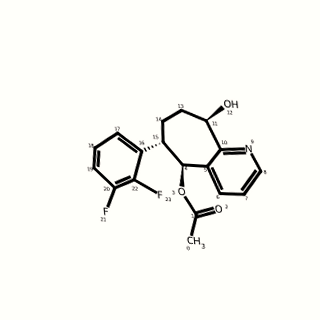 CC(=O)O[C@@H]1c2cccnc2[C@H](O)CC[C@H]1c1cccc(F)c1F